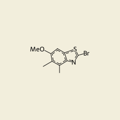 COc1cc2sc(Br)nc2c(C)c1C